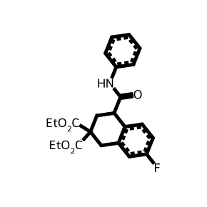 CCOC(=O)C1(C(=O)OCC)Cc2cc(F)ccc2C(C(=O)Nc2ccccc2)C1